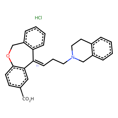 Cl.O=C(O)c1ccc2c(c1)/C(=C/CCN1CCc3ccccc3C1)c1ccccc1CO2